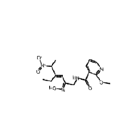 CC/C(=C\C(CNC(=O)c1cccnc1OC)=N/O)C(C)[N+](=O)[O-]